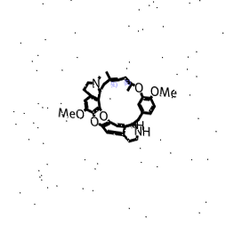 COc1ccc2cc1O/C(C)=C/C=C(\C)CC1c3c(cc(OC)c4c3Oc3cc5c(cc3O4)CCN[C@H]5C2)CCN1C